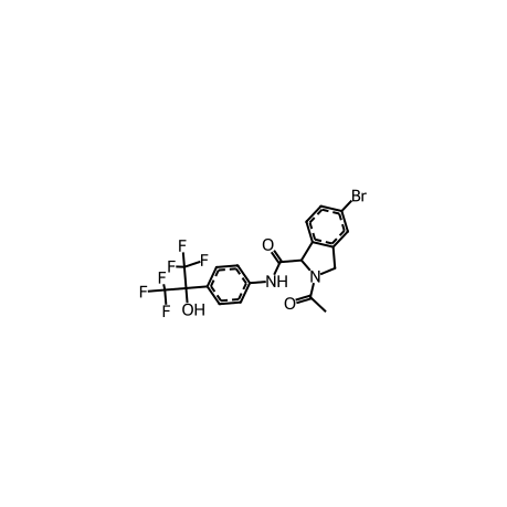 CC(=O)N1Cc2cc(Br)ccc2C1C(=O)Nc1ccc(C(O)(C(F)(F)F)C(F)(F)F)cc1